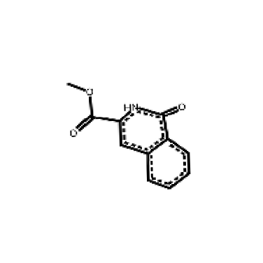 COC(=O)c1cc2ccccc2c(=O)[nH]1